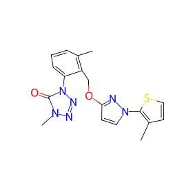 Cc1ccsc1-n1ccc(OCc2c(C)cccc2-n2nnn(C)c2=O)n1